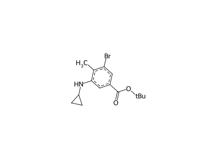 Cc1c(Br)cc(C(=O)OC(C)(C)C)cc1NC1CC1